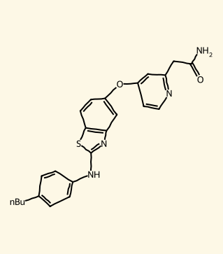 CCCCc1ccc(Nc2nc3cc(Oc4ccnc(CC(N)=O)c4)ccc3s2)cc1